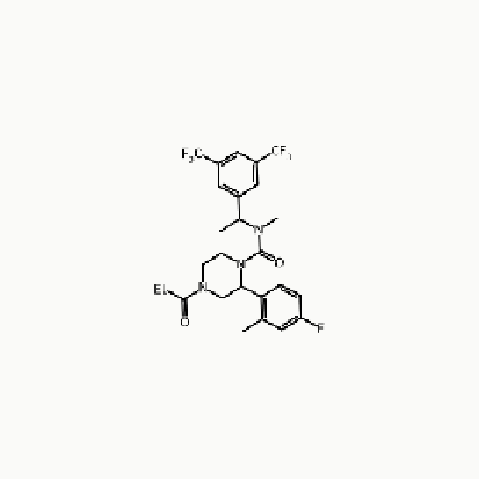 CCC(=O)N1CCN(C(=O)N(C)C(C)c2cc(C(F)(F)F)cc(C(F)(F)F)c2)C(c2ccc(F)cc2C)C1